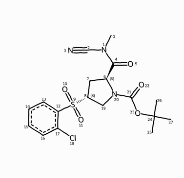 CN(C#N)C(=O)[C@@H]1C[C@@H](S(=O)(=O)c2ccccc2Cl)CN1C(=O)OC(C)(C)C